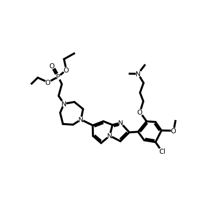 CCOP(=O)(CCN1CCCN(c2ccn3cc(-c4cc(Cl)c(OC)cc4OCCCN(C)C)nc3c2)CC1)OCC